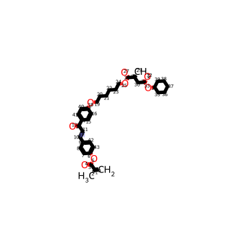 C=C(C)C(=O)Oc1ccc(/C=C/C(=O)c2ccc(OCCCCCCOC(=O)C(=C)CC(=O)OC3CCCCC3)cc2)cc1